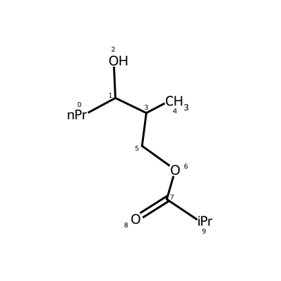 CCCC(O)C(C)COC(=O)C(C)C